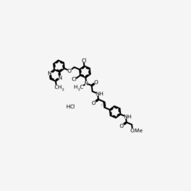 COCC(=O)Nc1ccc(/C=C/C(=O)NCC(=O)N(C)c2ccc(Cl)c(COc3cccc4ncc(C)nc34)c2Cl)cc1.Cl